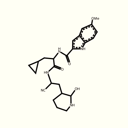 COc1ccc2[nH]c(C(=O)NC(CC3CC3)C(=O)NC(C#N)CC3CCCNC3O)cc2c1